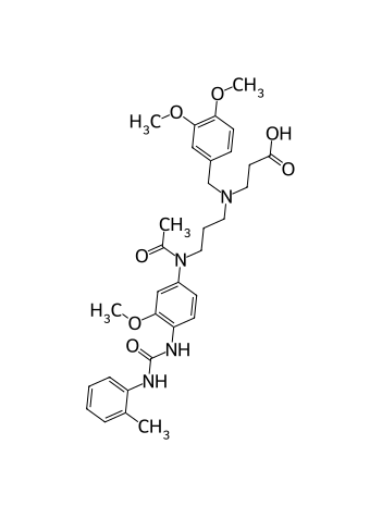 COc1cc(N(CCCN(CCC(=O)O)Cc2ccc(OC)c(OC)c2)C(C)=O)ccc1NC(=O)Nc1ccccc1C